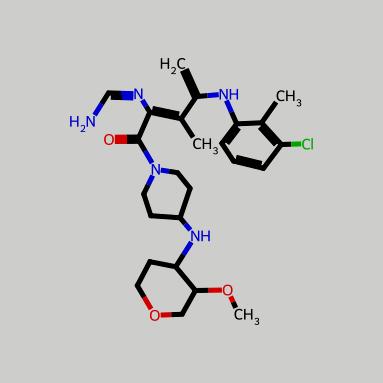 C=C(Nc1cccc(Cl)c1C)/C(C)=C(\N=C/N)C(=O)N1CCC(NC2CCOCC2OC)CC1